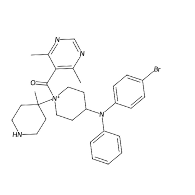 Cc1ncnc(C)c1C(=O)[N+]1(C2(C)CCNCC2)CCC(N(c2ccccc2)c2ccc(Br)cc2)CC1